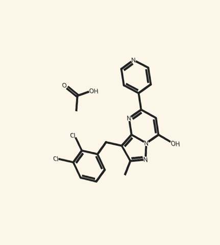 CC(=O)O.Cc1nn2c(O)cc(-c3ccncc3)nc2c1Cc1cccc(Cl)c1Cl